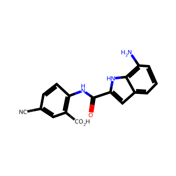 N#Cc1ccc(NC(=O)c2cc3cccc(N)c3[nH]2)c(C(=O)O)c1